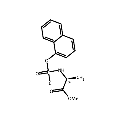 COC(=O)[C@H](C)NP(=O)(Cl)Oc1cccc2ccccc12